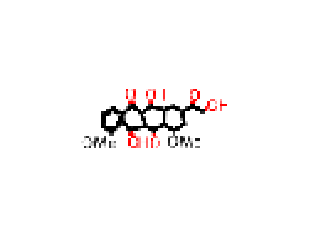 COc1cccc2c1C(=O)C1C(O)C3C(CC(C(=O)CO)C[C@@H]3OC)C(O)C1C2=O